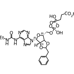 CCNC(=O)Nc1ncnc2c1ncn2[C@@H]1O[C@H](COP(=O)(O)OP(=O)(O)CCC(=O)O)C2OC(Cc3ccccc3)O[C@@H]21